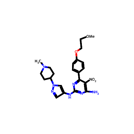 COCCOc1ccc(-c2nc(Nc3cnn(C4CCN(C)CC4)c3)nc(N)c2[N+](=O)[O-])cc1